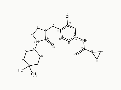 CC1(O)CCC(N2CCC(Cc3ccc(NC(=O)C4CC4)cc3Cl)C2=O)CC1